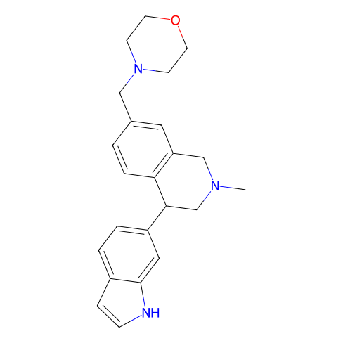 CN1Cc2cc(CN3CCOCC3)ccc2C(c2ccc3cc[nH]c3c2)C1